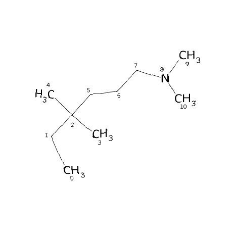 CCC(C)(C)CCCN(C)C